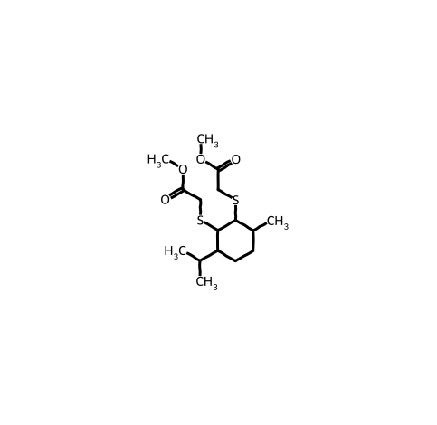 COC(=O)CSC1C(C)CCC(C(C)C)C1SCC(=O)OC